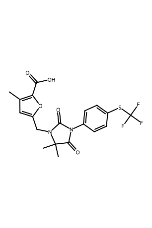 Cc1cc(CN2C(=O)N(c3ccc(SC(F)(F)F)cc3)C(=O)C2(C)C)oc1C(=O)O